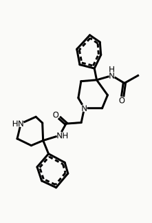 CC(=O)NC1(c2ccccc2)CCN(CC(=O)NC2(c3ccccc3)CCNCC2)CC1